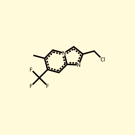 Cc1cn2cc(CCl)nc2cc1C(F)(F)F